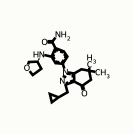 CC1(C)CC(=O)c2c(CC3CC3)nn(-c3ccc(C(N)=O)c(N[C@@H]4CCOC4)c3)c2C1